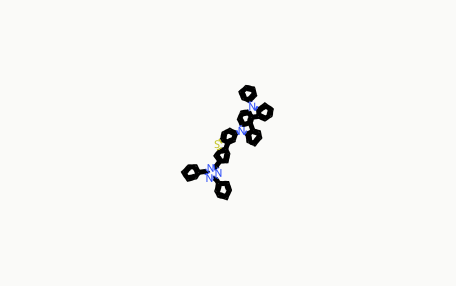 c1ccc(-c2nc(-c3ccccc3)nc(-c3ccc4c(c3)sc3ccc(-n5c6ccccc6c6c7c8ccccc8n(-c8ccccc8)c7ccc65)cc34)n2)cc1